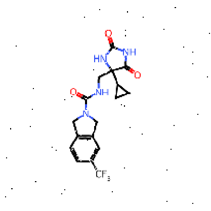 O=C1NC(=O)C(CNC(=O)N2Cc3ccc(C(F)(F)F)cc3C2)(C2CC2)N1